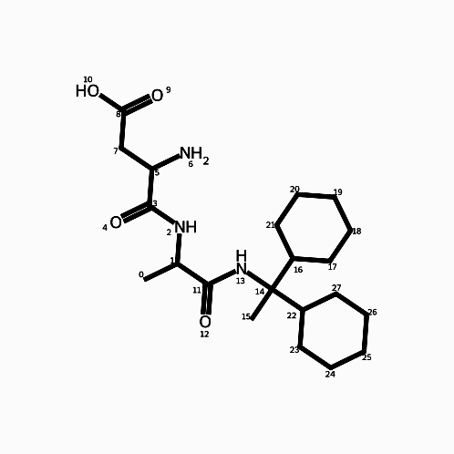 CC(NC(=O)C(N)CC(=O)O)C(=O)NC(C)(C1CCCCC1)C1CCCCC1